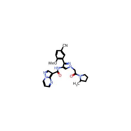 COc1ccc(C#N)cc1-c1nn(CC(=O)N2CCCC2C)cc1NC(=O)c1cnn2cccnc12